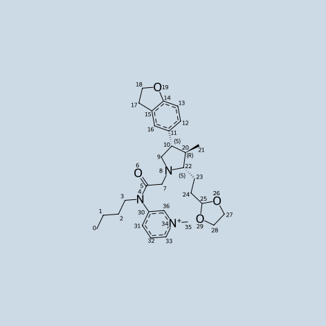 CCCCN(C(=O)CN1C[C@H](c2ccc3c(c2)CCO3)[C@@H](C)[C@@H]1CCC1OCCO1)c1ccc[n+](C)c1